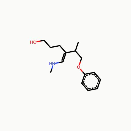 CNC=C(CCCO)C(C)COc1ccccc1